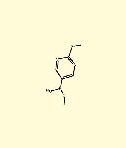 COB(O)c1cnc(SC)nc1